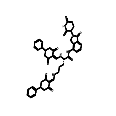 O=C1CCC(N2Cc3c(NC(=O)[C@H](CCCNC=C4C(=O)CC(c5ccccc5)CC4=O)NC=C4C(=O)CC(c5ccccc5)CC4=O)cccc3C2=O)C(=O)N1